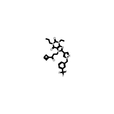 CCCn1c(=O)c2c(nc(-c3cnn(Cc4cccc(C(F)(F)F)c4)c3)n2CCC(=O)C23CC(C2)C3)n(CC)c1=O